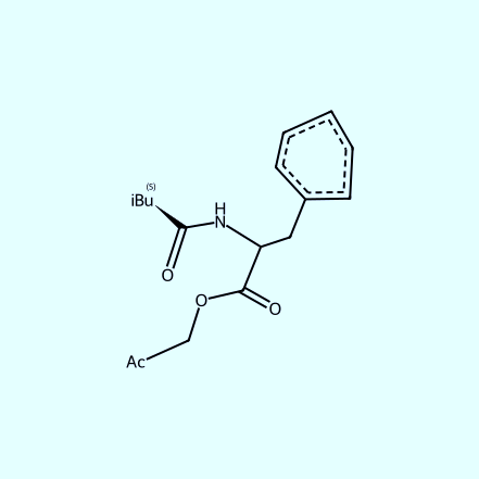 CC[C@H](C)C(=O)NC(Cc1ccccc1)C(=O)OCC(C)=O